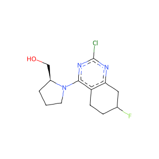 OC[C@@H]1CCCN1c1nc(Cl)nc2c1CCC(F)C2